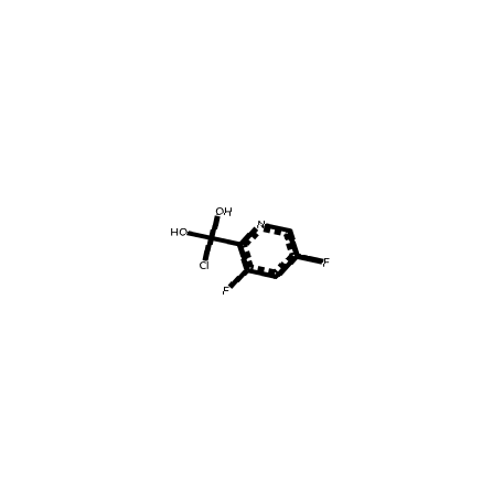 OC(O)(Cl)c1ncc(F)cc1F